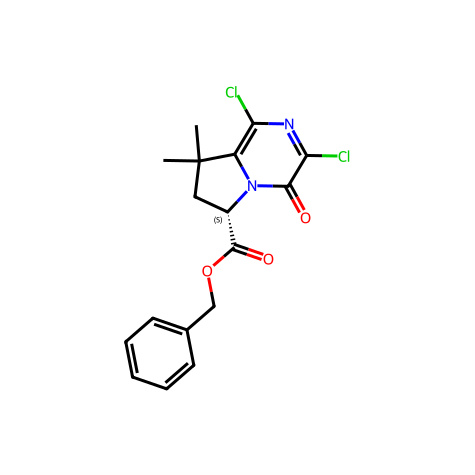 CC1(C)C[C@@H](C(=O)OCc2ccccc2)n2c1c(Cl)nc(Cl)c2=O